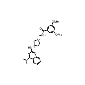 COc1cc(OC)cc(C(=O)NC[C@@H]2CC[C@H](Nc3nc(N(C)C)c4ccccc4n3)C2)c1